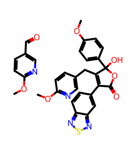 COc1ccc(C2(O)OC(=O)C(c3ccc4nsnc4c3)=C2Cc2ccc(OC)nc2)cc1.COc1ccc(C=O)cn1